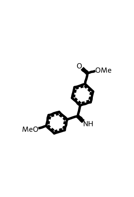 COC(=O)c1ccc(C(=N)c2ccc(OC)cc2)cc1